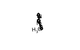 CC1CCCN1C1CC(c2nc3ccc(-c4cnc5ccccc5c4)cc3s2)C1